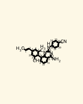 C/C=C/c1cc(C)c(-c2cccc3c(N)nc(Nc4ccc(C#N)cc4)nc23)c(C)c1